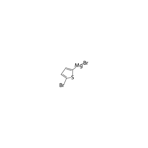 [Br][Mg][c]1ccc(Br)s1